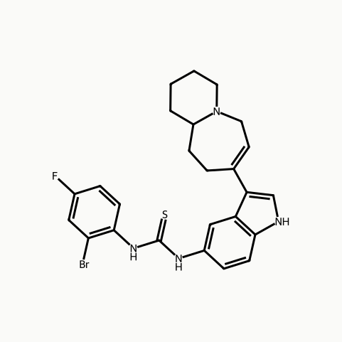 Fc1ccc(NC(=S)Nc2ccc3[nH]cc(C4=CCN5CCCCC5CC4)c3c2)c(Br)c1